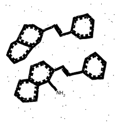 C(=Cc1ccc2ccccc2c1)c1ccccc1.Nc1c(C=Cc2ccccc2)ccc2ccccc12